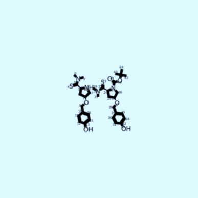 CN(C)C(=S)[C@@H]1C[C@@H](OCc2ccc(O)cc2)CN1.CN(C)C(=S)[C@@H]1C[C@@H](OCc2ccc(O)cc2)CN1C(=O)OC(C)(C)C